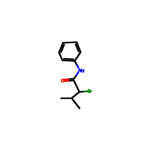 CC(C)C(Br)C(=O)Nc1ccccc1